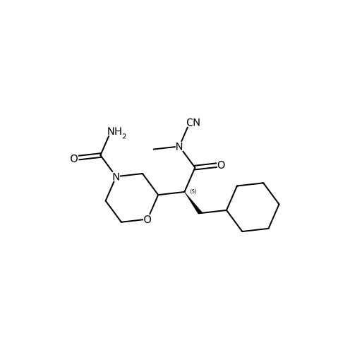 CN(C#N)C(=O)[C@@H](CC1CCCCC1)C1CN(C(N)=O)CCO1